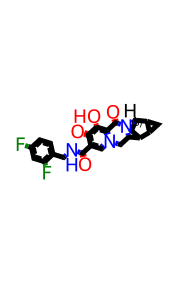 O=C(NCc1ccc(F)cc1F)c1cn2c(c(O)c1=O)C(=O)N1C(C2)C2C[C@H]1C1CC21